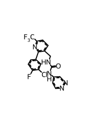 O=C(NCc1ccc(C(F)(F)F)nc1-c1ccc(F)c(Cl)c1)Nc1ccnnc1